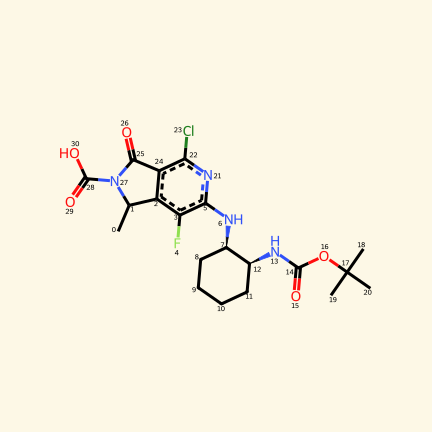 CC1c2c(F)c(N[C@@H]3CCCC[C@@H]3NC(=O)OC(C)(C)C)nc(Cl)c2C(=O)N1C(=O)O